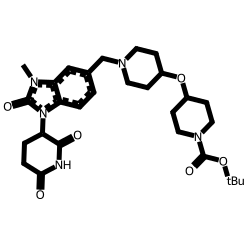 Cn1c(=O)n(C2CCC(=O)NC2=O)c2ccc(CN3CCC(OC4CCN(C(=O)OC(C)(C)C)CC4)CC3)cc21